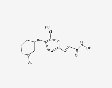 CC(=O)N1CCCC(Nc2ncc(/C=C/C(=O)NO)cc2Cl)C1.Cl